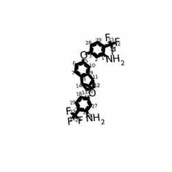 Nc1cc(Oc2ccc3c(c2)C2CCC3C2Oc2ccc(C(F)(F)F)c(N)c2)ccc1C(F)(F)F